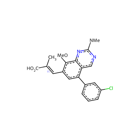 CNc1ncc2c(-c3cccc(Cl)c3)cc(/C=C(\C)C(=O)O)c(OC)c2n1